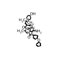 CC(Cn1c(=O)n(-c2ccc(Oc3ccccc3)cc2)c2c(N)ncnc21)NC(=O)C(C#N)=CC(C)(C)N1CCC(O)CC1